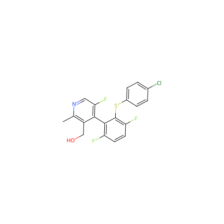 Cc1ncc(F)c(-c2c(F)ccc(F)c2Sc2ccc(Cl)cc2)c1CO